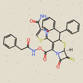 NC(=O)c1csc(C2=C(C(=O)ONC(=O)Cc3ccccc3)N3C(=O)C(=S)[C@@H]3SC2C(c2ccccc2)c2ccccc2)n1